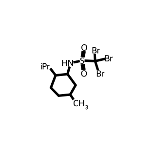 CC1CCC(C(C)C)C(NS(=O)(=O)C(Br)(Br)Br)C1